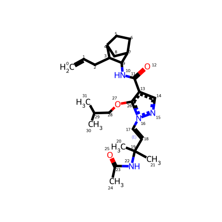 C=CCC1C2CCC(C2)C1NC(=O)c1cnn(/C=C/C(C)(C)NC(C)=O)c1OCC(C)C